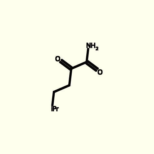 CC(C)CCC(=O)C(N)=O